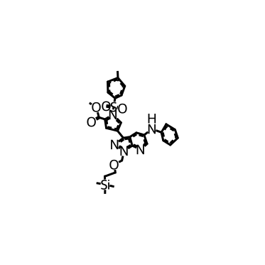 COC(=O)c1cc(-c2nn(COCC[Si](C)(C)C)c3ncc(Nc4ccccc4)cc23)cn1S(=O)(=O)c1ccc(C)cc1